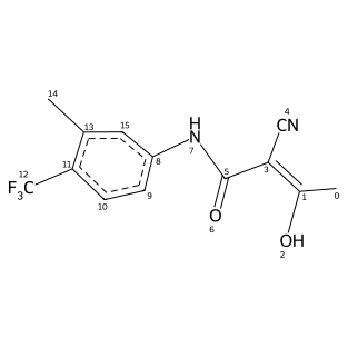 C/C(O)=C(\C#N)C(=O)Nc1ccc(C(F)(F)F)c(C)c1